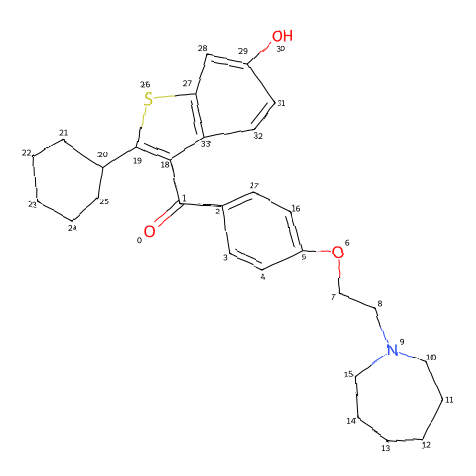 O=C(c1ccc(OCCN2CCCCCC2)cc1)c1c(C2CCCCC2)sc2cc(O)ccc12